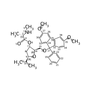 CN[C@@H](C)C(=O)OC1C[C@H](C(C)C)O[C@@H]1COC(c1ccccc1)(c1ccc(OC)cc1)c1ccc(OC)cc1